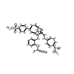 CNC(F)Oc1ccccc1CN1C2=CC(c3ccc(S(C)(=O)=O)cc3)=CC=C(N=C1CCC1=CCC=C([S+](C)[O-])C=C1)C2C